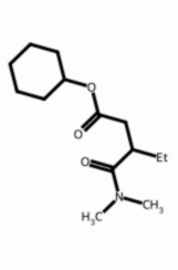 CCC(CC(=O)OC1CCCCC1)C(=O)N(C)C